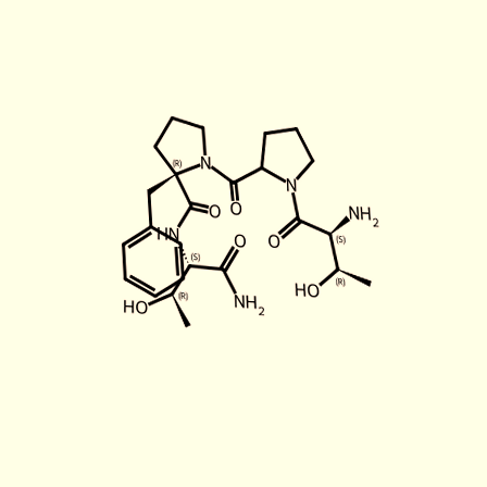 C[C@@H](O)[C@H](N)C(=O)N1CCCC1C(=O)N1CCC[C@@]1(Cc1ccccc1)C(=O)N[C@H](C(N)=O)[C@@H](C)O